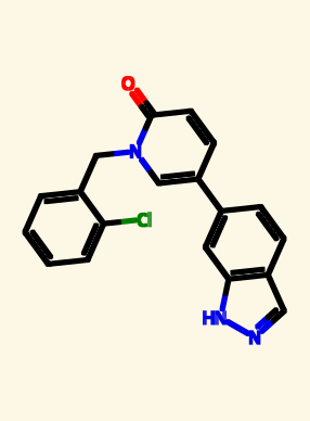 O=c1ccc(-c2ccc3cn[nH]c3c2)cn1Cc1ccccc1Cl